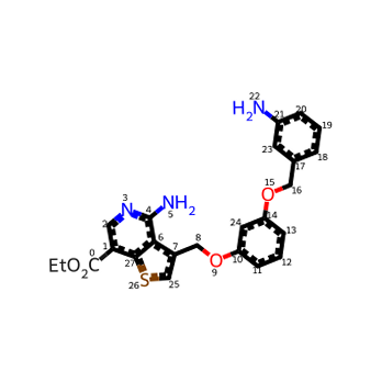 CCOC(=O)c1cnc(N)c2c(COc3cccc(OCc4cccc(N)c4)c3)csc12